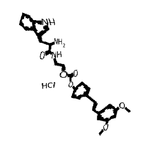 COc1cc(C=Cc2ccc(OC(=O)OCCNC(=O)C(N)Cc3c[nH]c4ccccc34)cc2)cc(OC)c1.Cl